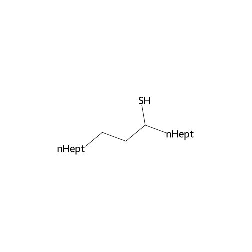 CCCCCCCCCC(S)CCCCCCC